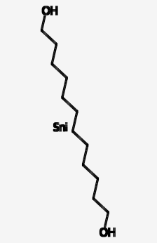 OCCCCCCCCCCCCO.[Sn]